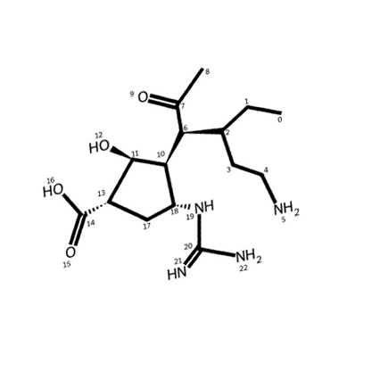 CCC(CCN)[C@H](C(C)=O)[C@@H]1[C@H](O)[C@@H](C(=O)O)C[C@H]1NC(=N)N